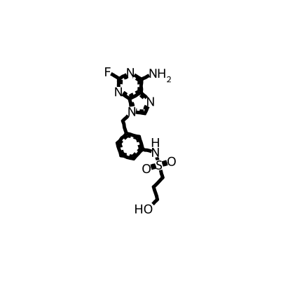 Nc1nc(F)nc2c1ncn2Cc1cccc(NS(=O)(=O)CCCO)c1